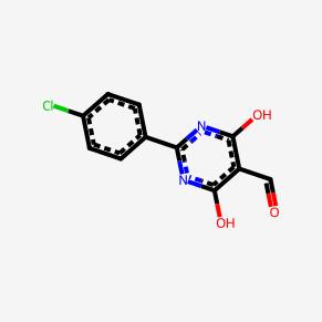 O=Cc1c(O)nc(-c2ccc(Cl)cc2)nc1O